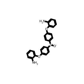 Nc1ccccc1Oc1ccc([S+]([O-])c2ccc(Oc3ccccc3N)cc2)cc1